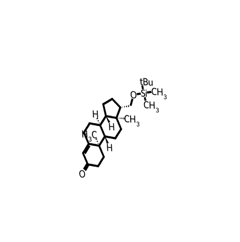 CC(C)(C)[Si](C)(C)OC[C@H]1CC[C@H]2[C@@H]3CCC4=CC(=O)CC[C@]4(C)[C@H]3CC[C@]12C